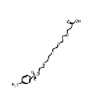 Cc1ccc(S(=O)(=O)OCCOCCOCCOCCOCCC(=O)O)cc1